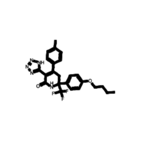 CCCCOc1ccc(C2(C(F)(F)F)CC(c3ccc(C)cc3)=C(c3nnn[nH]3)C(=O)N2)cc1